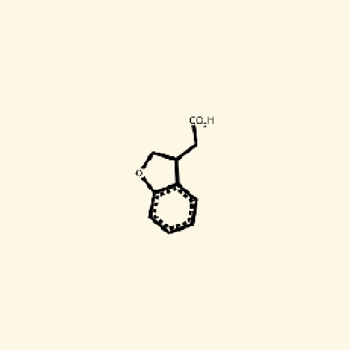 O=C(O)CC1COc2ccccc21